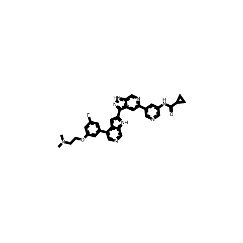 CN(C)CCOc1cc(F)cc(-c2cncc3[nH]c(-c4n[nH]c5cnc(-c6cncc(NC(=O)C7CC7)c6)cc45)cc23)c1